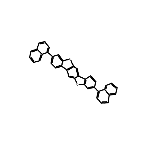 c1ccc2c(-c3ccc4c(c3)oc3cc5c(cc34)oc3cc(-c4cccc6ccccc46)ccc35)cccc2c1